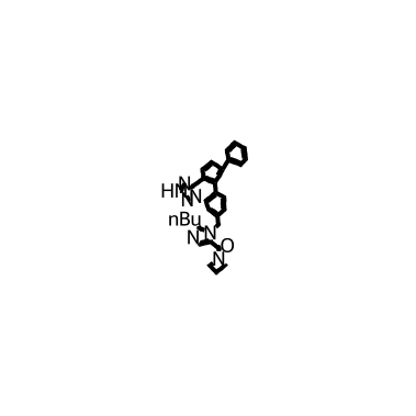 CCCCc1ncc(C(=O)N2CCC2)n1Cc1ccc(-c2cc(-c3ccccc3)ccc2-c2nn[nH]n2)cc1